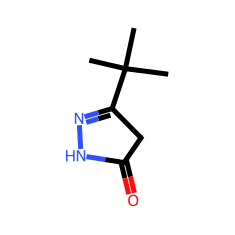 CC(C)(C)C1=NNC(=O)C1